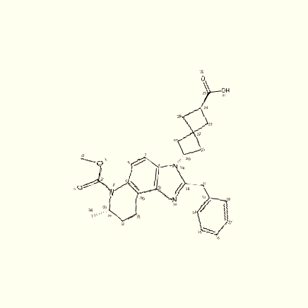 COC(=O)N1c2ccc3c(nc(Cc4ccccc4)n3[C@H]3CC4(C[C@H](C(=O)O)C4)C3)c2CC[C@@H]1C